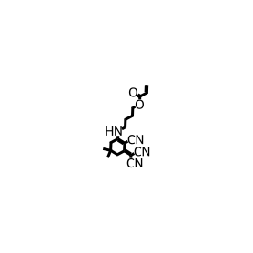 C=CC(=O)OCCCCNC1=C(C#N)C(=C(C#N)C#N)CC(C)(C)C1